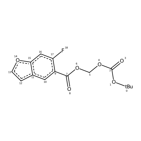 CC(C)(C)OC(=O)OCOC(=O)c1cc2ccoc2cc1F